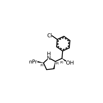 CCC[C@@H]1CC[C@H]([C@H](O)c2cccc(Cl)c2)N1